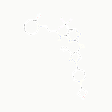 Cc1nn(C2CCN(C3COC3)CC2)cc1Nc1ncc(C(F)(F)F)c(NCCCN2CCCCCC2=O)n1